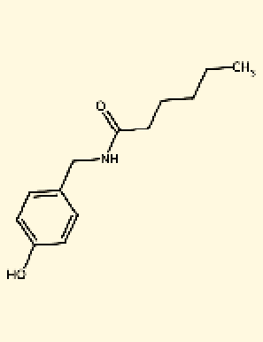 CCCCCC(=O)NCc1ccc(O)cc1